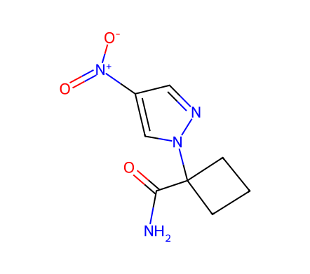 NC(=O)C1(n2cc([N+](=O)[O-])cn2)CCC1